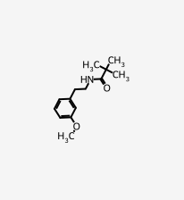 COc1cccc(CCNC(=O)C(C)(C)C)c1